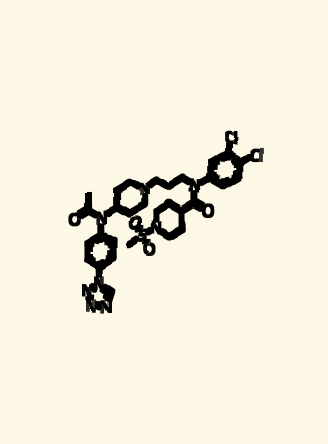 CC(=O)N(c1ccc(-n2cnnn2)cc1)C1CCN(CCCN(C(=O)C2CCN(S(C)(=O)=O)CC2)c2ccc(Cl)c(Cl)c2)CC1